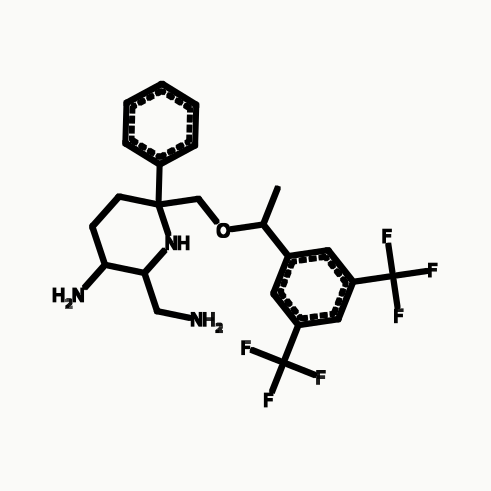 CC(OCC1(c2ccccc2)CCC(N)C(CN)N1)c1cc(C(F)(F)F)cc(C(F)(F)F)c1